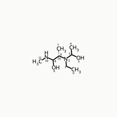 CCN(C(C)O)[C@@H](C)C(O)NC